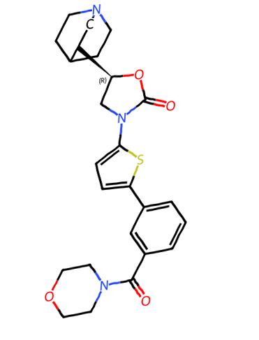 O=C(c1cccc(-c2ccc(N3C[C@@H](C4CN5CCC4CC5)OC3=O)s2)c1)N1CCOCC1